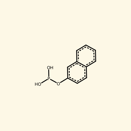 OP(O)Oc1ccc2ccccc2c1